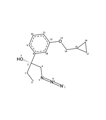 CC[C@](O)(CN=[N+]=[N-])c1cccc(OCC2CC2)c1